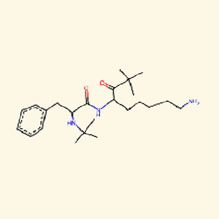 CC(C)(C)NC(Cc1ccccc1)C(=O)NC(CCCCCN)C(=O)C(C)(C)C